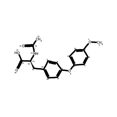 COc1ccc(Oc2ccc(C[C@H](NC(C)=O)C(=O)O)cc2)cc1